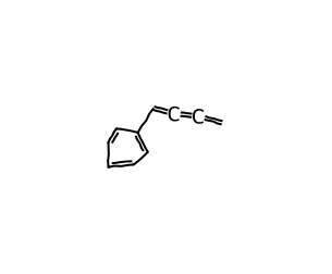 C=C=C=Cc1ccccc1